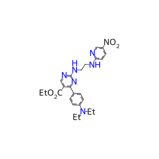 CCOC(=O)c1cnc(NCCNc2ccc([N+](=O)[O-])cn2)nc1-c1ccc(N(CC)CC)cc1